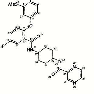 CSc1cccc(Oc2ncc(F)cc2C(=O)NC2CCC(NC(=O)c3cnccn3)CC2)c1